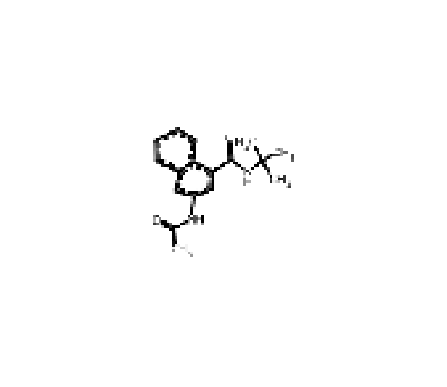 CC(=O)Nc1cc(C(=O)NC(C)(C)C)c2ccccc2c1